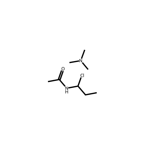 CCC(Cl)NC(C)=O.CN(C)C